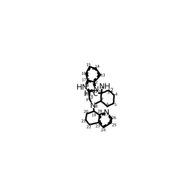 CC1(N)CCCCC1N(Cc1nc2ccccc2[nH]1)C1CCCc2cccnc21